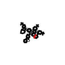 Cc1cc2c3c(c1)N(c1ccc(C(C)(C)C)cc1-c1ccccc1)c1cc(C(C)(C)C)ccc1B3c1ccc(N3c4ccc(C(C)(C)C)cc4C4(C)CCCCC34C)cc1N2c1ccc2c(c1)sc1ccccc12